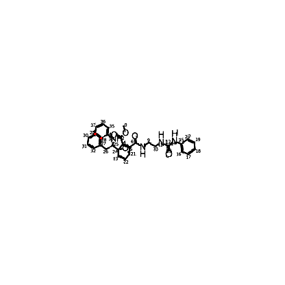 COC(=O)C1=C(C(=O)NCCNC(=O)Nc2ccccc2)C2C=CC1(C(Cc1ccccc1)Nc1ccccc1)O2